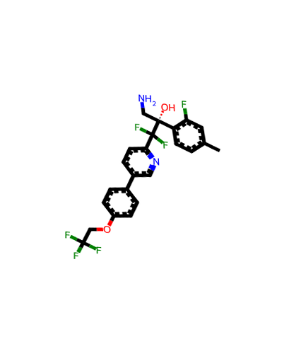 Cc1ccc([C@](O)(CN)C(F)(F)c2ccc(-c3ccc(OCC(F)(F)F)cc3)cn2)c(F)c1